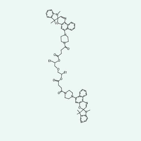 CCC(COCC(CC)OC(=O)CCC(=O)N1CCN(c2cc3c(c4ccccc24)N=CC2(O3)N(C)c3ccccc3C2(C)C)CC1)OC(=O)CCC(=O)N1CCN(c2cc3c(c4ccccc24)N=CC2(O3)N(C)c3ccccc3C2(C)C)CC1